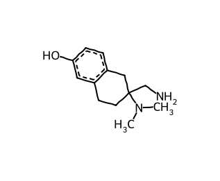 CN(C)C1(CN)CCc2cc(O)ccc2C1